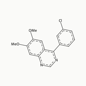 COc1cc2ncnc(-c3cccc(Cl)c3)c2cc1OC